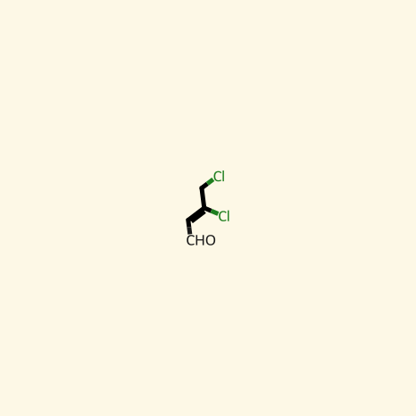 O=CC=C(Cl)CCl